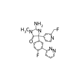 CN1C(=O)C(c2ccnc(CF)c2)(c2ccc(F)c(-c3cccnn3)c2)N=C1N